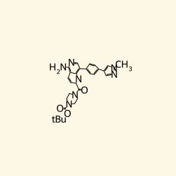 Cn1cc(-c2ccc(-c3cnc(N)c4ccc(C(=O)N5CCN(C(=O)OC(C)(C)C)CC5)nc34)cc2)cn1